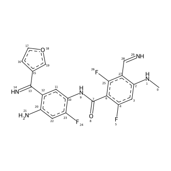 CNc1cc(F)c(C(=O)Nc2cc(C(=N)c3ccoc3)c(N)cc2F)c(F)c1C=N